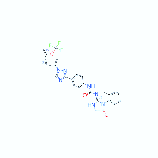 C=C(/C=C\C(=C/C)OC(F)(F)F)n1cnc(-c2ccc(NC(=O)/N=C3\NCC(=O)N3c3ccccc3C)cc2)n1